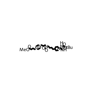 COC(=O)CCCN1CCN(CC2CN(CCCCC3CCN(C(=N)NC(=O)OC(C)(C)C)CC3)C(=O)O2)CC1